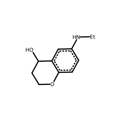 CCNc1ccc2c(c1)C(O)CCO2